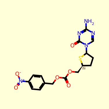 Nc1ncn(C2CC[C@@H](COC(=O)OCc3ccc([N+](=O)[O-])cc3)S2)c(=O)n1